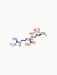 C=CC(CN[C@@H](CCCNC(=N)N)C(=O)O)P(=O)(O)O